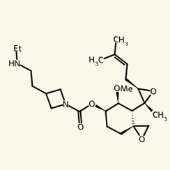 CCNCCC1CN(C(=O)O[C@@H]2CC[C@]3(CO3)[C@@H]([C@@]3(C)O[C@@H]3CC=C(C)C)[C@@H]2OC)C1